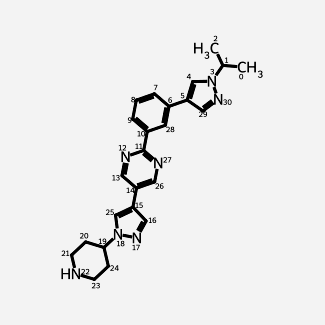 CC(C)n1cc(-c2cccc(-c3ncc(-c4cnn(C5CCNCC5)c4)cn3)c2)cn1